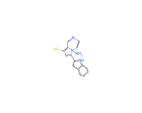 N[N+]12C=CN=CC1=C(S)N=C2c1cc2ccccc2[nH]1